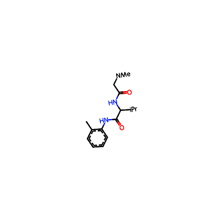 CNCC(=O)NC(C(=O)Nc1ccccc1C)C(C)C